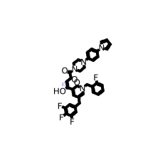 O=C(/C=C(/O)c1cc(Cc2cc(F)c(F)c(F)c2)cn(Cc2ccccc2F)c1=O)C(=O)N1CCN(c2ccc(-n3cccc3)cc2)CC1